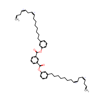 C=CC/C=C\C/C=C\CCCCCCCc1cccc(OC(=O)c2cccc(C(=O)Oc3cccc(CCCCCCC/C=C\C/C=C\CC=C)c3)c2)c1